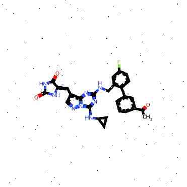 CC(=O)c1cccc(-c2ccc(F)cc2CNc2nc(NC3CC3)n3ncc(/C=C4\NC(=O)NC4=O)c3n2)c1